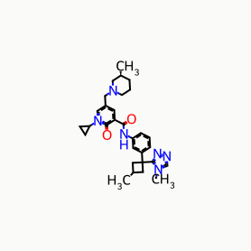 CC1CC(c2cccc(NC(=O)c3cc(CN4CCC[C@H](C)C4)cn(C4CC4)c3=O)c2)(c2nncn2C)C1